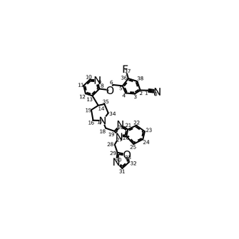 N#Cc1ccc(COc2ncccc2C2CCN(Cc3nc4ccccc4n3Cc3ncco3)CC2)c(F)c1